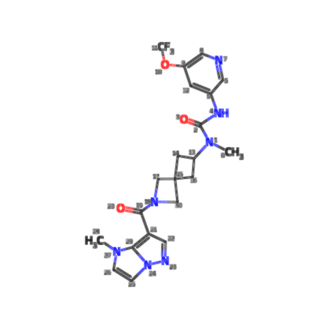 CN(C(=O)Nc1cncc(OC(F)(F)F)c1)C1CC2(C1)CN(C(=O)c1cnn3ccn(C)c13)C2